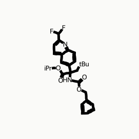 CC(C)OC(=O)C(CC(C)(C)C)(NC(=O)OCc1ccccc1)c1ccc2nc(C(F)F)ccc2c1